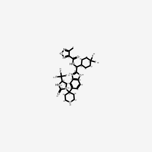 Cc1nonc1C(=O)NC(c1nc2cc(C3(N4CC(C(F)(F)F)NC4=O)CCOCC3)ccc2o1)C1CCC(F)(F)CC1